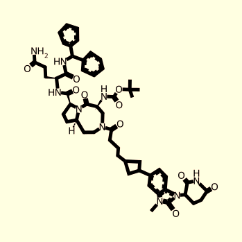 Cn1c(=O)n(C2CCC(=O)NC2=O)c2ccc(C3CC(CCCC(=O)N4CC[C@H]5CC[C@@H](C(=O)N[C@@H](CCC(N)=O)C(=O)NC(c6ccccc6)c6ccccc6)N5C(=O)[C@@H](NC(=O)OC(C)(C)C)C4)C3)cc21